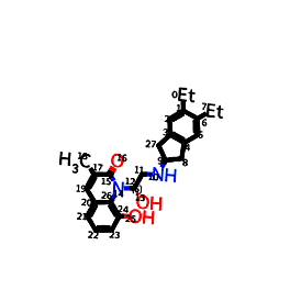 CCc1cc2c(cc1CC)CC(NC[C@H](O)n1c(=O)c(C)cc3cccc(O)c31)C2